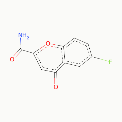 NC(=O)c1cc(=O)c2cc(F)ccc2o1